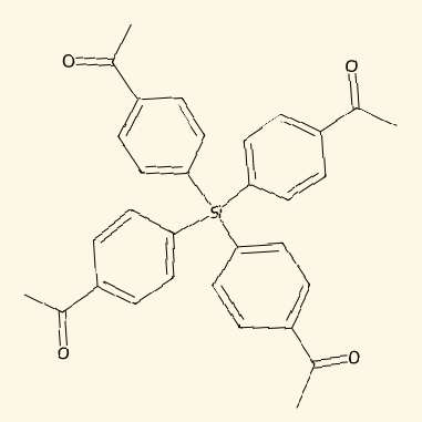 CC(=O)c1ccc([Si](c2ccc(C(C)=O)cc2)(c2ccc(C(C)=O)cc2)c2ccc(C(C)=O)cc2)cc1